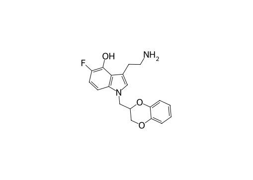 NCCc1cn(CC2COc3ccccc3O2)c2ccc(F)c(O)c12